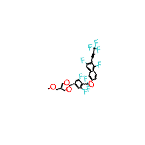 COCC1COC(c2cc(F)c(C(F)(F)Oc3ccc4c(F)c(C#CC(F)(F)F)c(F)cc4c3)c(F)c2)OC1